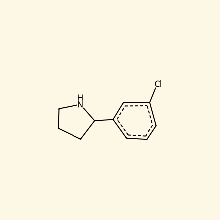 Clc1cccc(C2CCCN2)c1